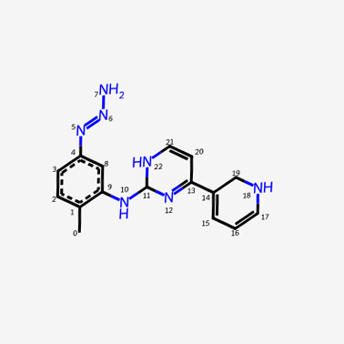 Cc1ccc(N=NN)cc1NC1N=C(C2=CC=CNC2)C=CN1